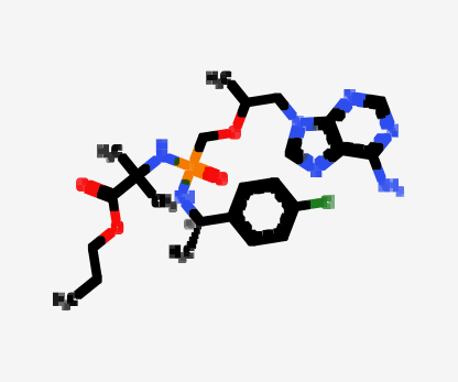 CCCOC(=O)C(C)(C)NP(=O)(COC(C)Cn1cnc2c(N)ncnc21)N[C@@H](C)c1ccc(Cl)cc1